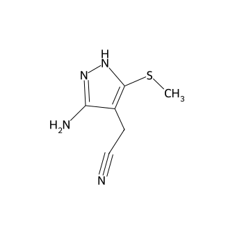 CSc1[nH]nc(N)c1CC#N